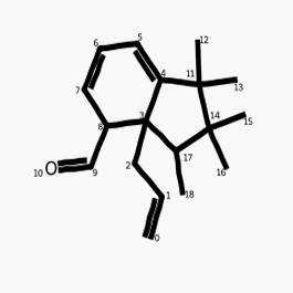 C=CCC12C(=CC=CC1C=O)C(C)(C)C(C)(C)C2C